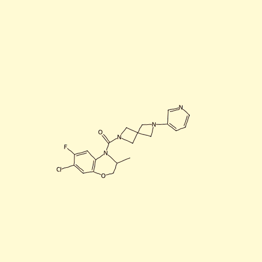 CC1COc2cc(Cl)c(F)cc2N1C(=O)N1CC2(C1)CN(c1cccnc1)C2